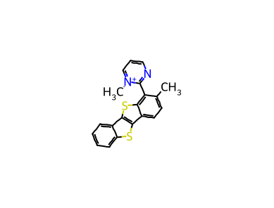 Cc1ccc2c(sc3c4ccccc4sc23)c1-c1nccc[n+]1C